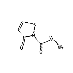 CCCNC(=O)n1sccc1=O